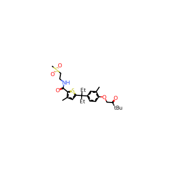 CCC(CC)(c1ccc(OCC(=O)C(C)(C)C)c(C)c1)c1cc(C)c(C(=O)NCCS(C)(=O)=O)s1